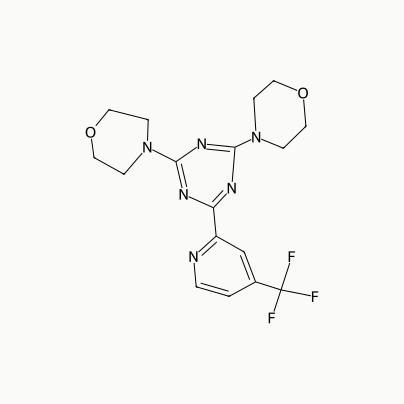 FC(F)(F)c1ccnc(-c2nc(N3CCOCC3)nc(N3CCOCC3)n2)c1